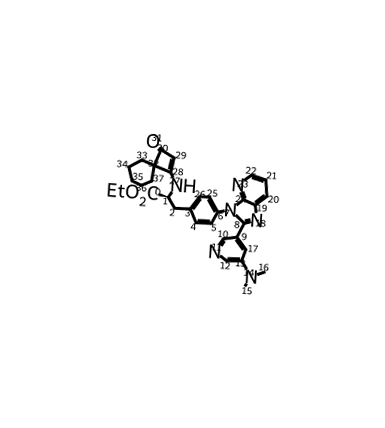 CCOC(=O)[C@H](Cc1ccc(-n2c(-c3cncc(N(C)C)c3)nc3cccnc32)cc1)NC1=CC(=O)C12CCCCC2